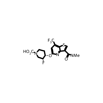 CNC(=O)c1csc2c(C(F)(F)F)cc(O[C@H]3CCN(C(=O)O)C[C@H]3F)nc12